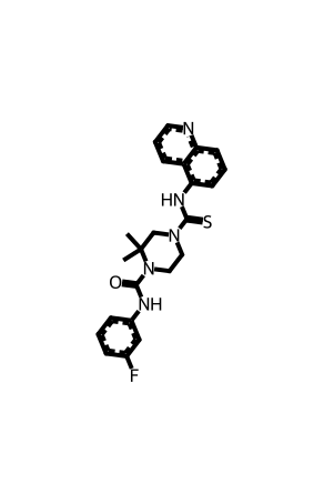 CC1(C)CN(C(=S)Nc2cccc3ncccc23)CCN1C(=O)Nc1cccc(F)c1